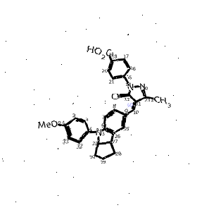 COc1ccc(N2c3ccc(/C=C4\C(=O)N(c5ccc(C(=O)O)cc5)N=C4C)cc3C3CCCC32)cc1